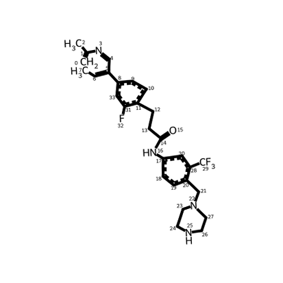 C=C(C)/N=C\C(=C/C)c1ccc(CCC(=O)Nc2ccc(CN3CCNCC3)c(C(F)(F)F)c2)c(F)c1